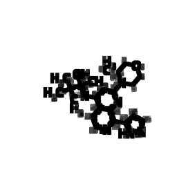 C[C@@H]1COCCN1c1cc(N=[SH](C)(O)C(C)(C)C)c2ccnc(-c3ccn[nH]3)c2n1